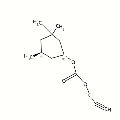 C#CCOC(=O)O[C@@H]1C[C@@H](C)CC(C)(C)C1